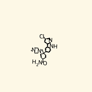 CN1CCN(CC2(c3ccc4[nH]c5ncc(Cl)cc5c4c3)C=CC(C(N)=O)C=C2)CC1